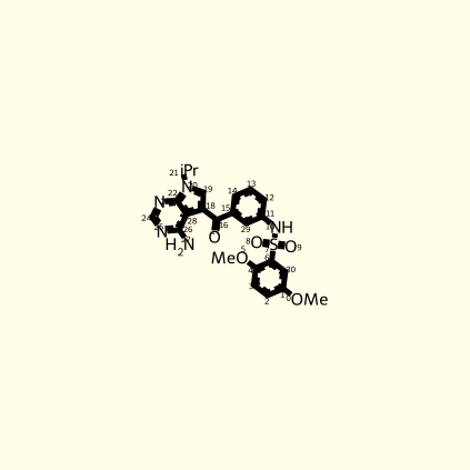 COc1ccc(OC)c(S(=O)(=O)Nc2cccc(C(=O)c3cn(C(C)C)c4ncnc(N)c34)c2)c1